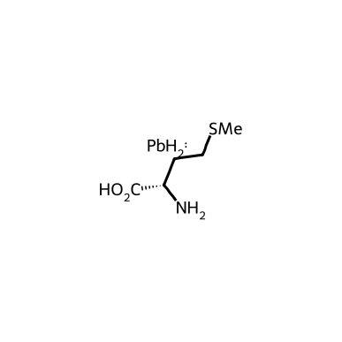 CSCC[C@H](N)C(=O)O.[PbH2]